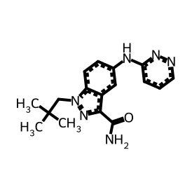 CC(C)(C)Cn1nc(C(N)=O)c2cc(Nc3cccnn3)ccc21